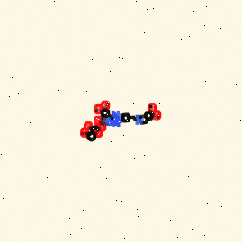 COc1cc2c(cc1OC)CN(CCc1ccc(-n3nnc(-c4cc(OC)c(OC)cc4NC(=O)Oc4cc(=O)c5c(OC)cccc5o4)n3)cc1)CC2